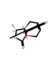 C[C@H]1OC(=O)[C@@]23CC=CC[C@@]12OC(=O)C3